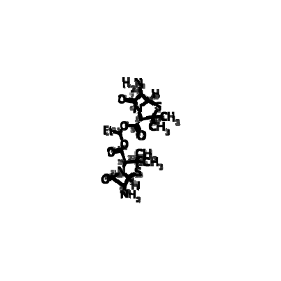 CCC(OC(=O)[C@@H]1N2C(=O)C(N)[C@H]2SC1(C)C)OC(=O)[C@@H]1N2C(=O)C(N)[C@H]2SC1(C)C